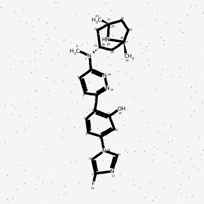 CN(c1ccc(-c2ccc(-n3cnc(F)c3)cc2O)nn1)[C@@H]1C[C@]2(C)CC[C@](C)(C1)N2